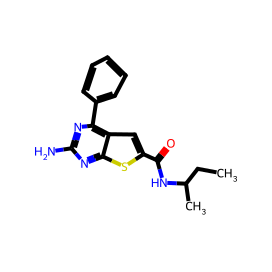 CCC(C)NC(=O)c1cc2c(-c3ccccc3)nc(N)nc2s1